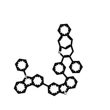 C1=C2C=c3ccccc3=CC1=NC(c1cccc(-c3cccc4oc5ccc(-c6ccc7c(c6)c6ccccc6n7-c6ccccc6)cc5c34)c1)=C(c1ccccc1)C2